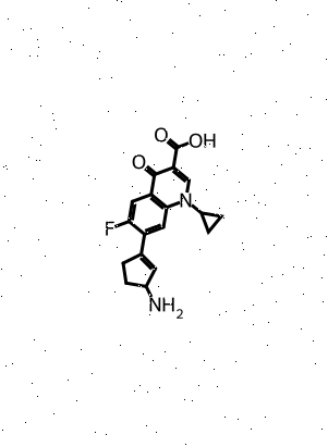 NC1C=C(c2cc3c(cc2F)c(=O)c(C(=O)O)cn3C2CC2)CC1